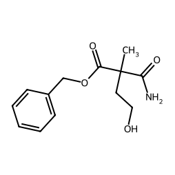 CC(CCO)(C(N)=O)C(=O)OCc1ccccc1